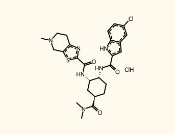 CN1CCc2nc(C(=O)N[C@H]3C[C@H](C(=O)N(C)C)CC[C@H]3NC(=O)c3cc4cc(Cl)ccc4[nH]3)sc2C1.Cl